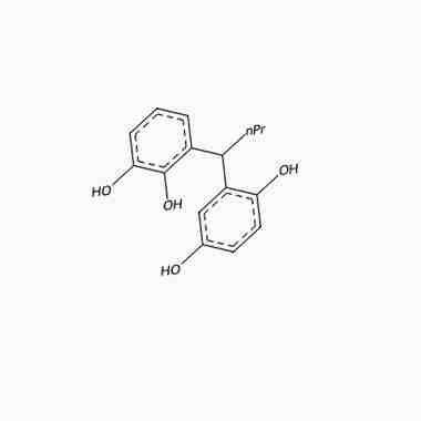 CCCC(c1cc(O)ccc1O)c1cccc(O)c1O